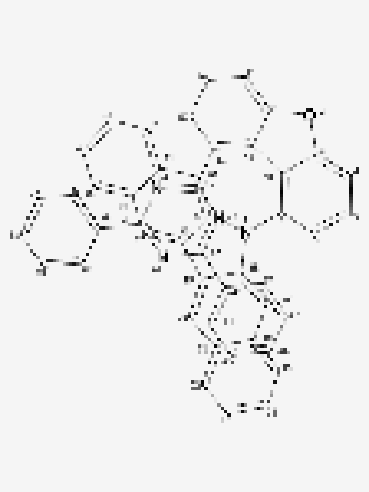 C1=c2oc3cccc(-n4c5cc6ccccc6cc5c5cc6ccccc6cc54)c3c2=C(c2nc(-c3ccccc3)nc(-c3ccccc3)n2)CC1